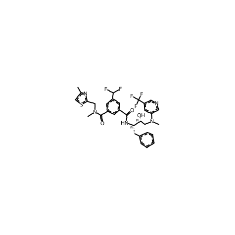 Cc1csc(CN(C)C(=O)c2cc(C(=O)N[C@@H](Cc3ccccc3)[C@H](O)CN(C)c3cncc(C(F)(F)F)c3)cc(C(F)F)c2)n1